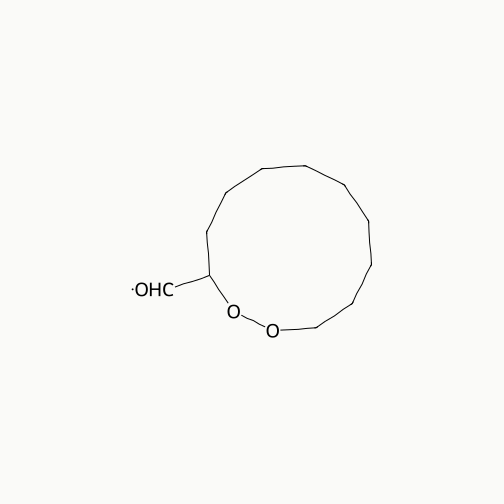 O=[C]C1CCCCCCCCCOO1